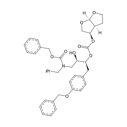 CC(C)CN(C[C@@H](O)[C@H](Cc1ccc(OCc2ccccc2)cc1)OC(=O)O[C@H]1CO[C@H]2OCC[C@H]21)C(=O)OCc1ccccc1